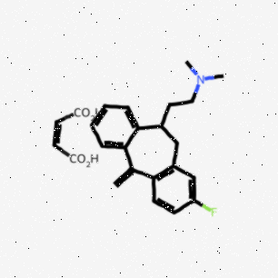 C=C1c2ccc(F)cc2CC(CCN(C)C)c2ccccc21.O=C(O)/C=C\C(=O)O